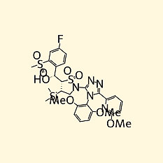 COc1cccc(-c2nnc(N3CC([Si](C)(C)C)[C@H]([C@H](O)c4ccc(F)cc4S(C)(=O)=O)S3(=O)=O)n2-c2c(OC)cccc2OC)n1